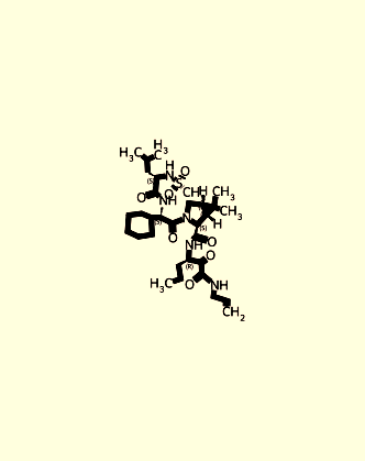 C=CCNC(=O)C(=O)[C@@H](CCC)NC(=O)[C@@H]1[C@@H]2[C@H](CN1C(=O)[C@@H](NC(=O)[C@H](CC(C)C)NS(C)(=O)=O)C1CCCCC1)C2(C)C